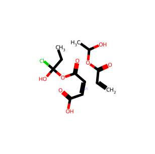 C=CC(=O)OC(C)O.CCC(O)(Cl)OC(=O)/C=C\C(=O)O